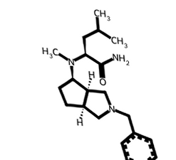 CC(C)C[C@@H](C(N)=O)N(C)[C@@H]1CC[C@@H]2CN(Cc3ccccc3)C[C@@H]21